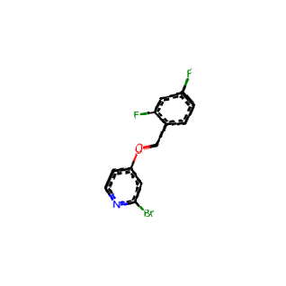 Fc1ccc(COc2ccnc(Br)c2)c(F)c1